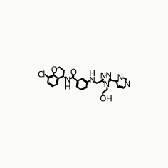 O=C(N[C@H]1CCOc2c(Cl)cccc21)c1cccc(NCc2nnc(-c3ccncn3)n2CCO)c1